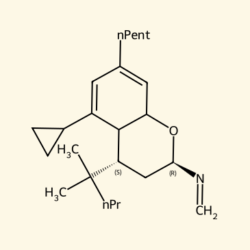 C=N[C@H]1C[C@H](C(C)(C)CCC)C2C(C3CC3)=CC(CCCCC)=CC2O1